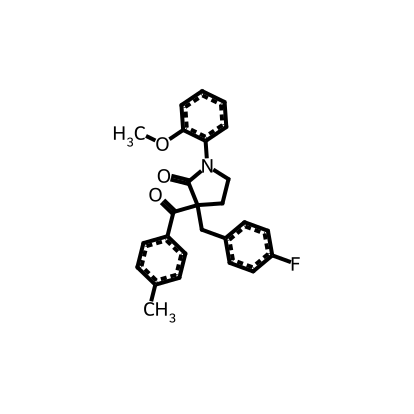 COc1ccccc1N1CCC(Cc2ccc(F)cc2)(C(=O)c2ccc(C)cc2)C1=O